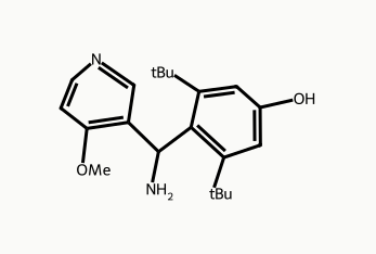 COc1ccncc1C(N)c1c(C(C)(C)C)cc(O)cc1C(C)(C)C